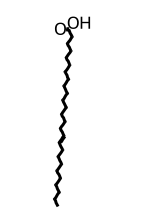 CCCCCCCCCC=CCCCCCCCCCCCCCCC(=O)O